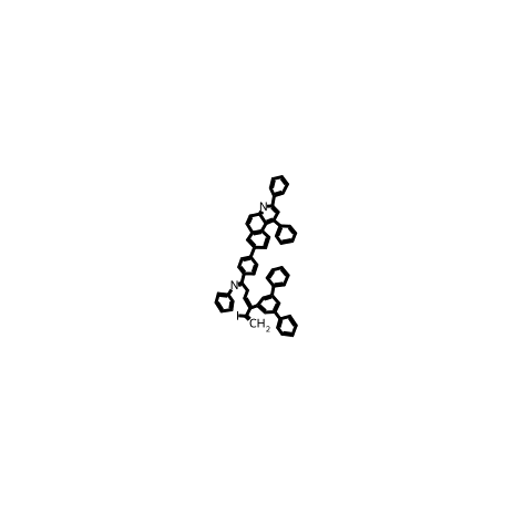 C=C(I)/C(=C/C/C(=N\c1ccccc1)c1ccc(-c2ccc3c(ccc4nc(-c5ccccc5)cc(-c5ccccc5)c43)c2)cc1)c1cc(-c2ccccc2)cc(-c2ccccc2)c1